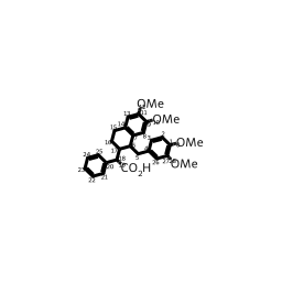 COc1ccc(CC2c3cc(OC)c(OC)cc3CCC2C(C(=O)O)c2ccccc2)cc1OC